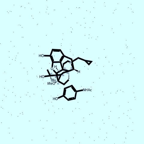 CC(=O)Nc1ccc(O)cc1.CO[C@@]12CC[C@@]3(C[C@@H]1[C@](C)(O)C(C)(C)C)[C@H]1Cc4ccc(O)c5c4[C@@]3(CCN1CC1CC1)[C@H]2O5